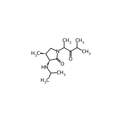 CC(C)N[C@@H]1C(=O)N(C(C)C(=O)C(C)C)C[C@@H]1C